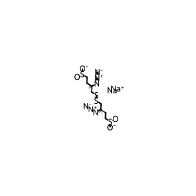 [N-]=[N+]=N[C@H](CCS(=O)[O-])CSSC[C@@H](CCS(=O)[O-])N=[N+]=[N-].[Na+].[Na+]